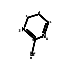 BrC1=NCCC=N1